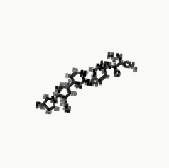 CC(N)C(=O)Nc1ccc(Nc2nccc(-c3cnc(N4CCC(F)C4)c(C#N)c3)n2)cn1